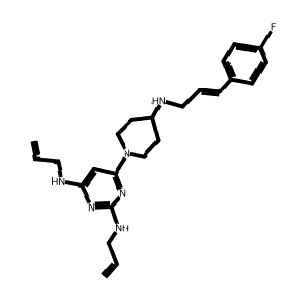 C=CCNc1cc(N2CCC(NCC=Cc3ccc(F)cc3)CC2)nc(NCC=C)n1